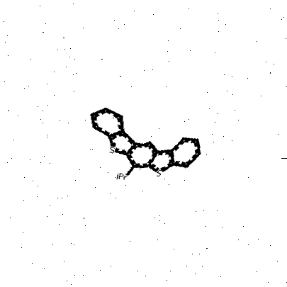 CC(C)c1c2sc3ccccc3c2cc2c1sc1ccccc12